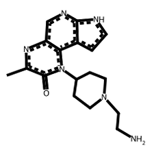 Cc1nc2cnc3[nH]ccc3c2n(C2CCN(CCN)CC2)c1=O